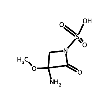 COC1(N)CN(S(=O)(=O)O)C1=O